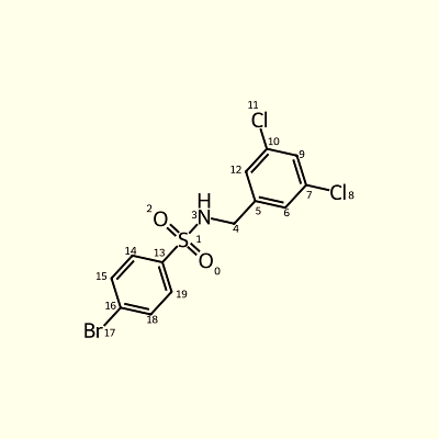 O=S(=O)(NCc1cc(Cl)cc(Cl)c1)c1ccc(Br)cc1